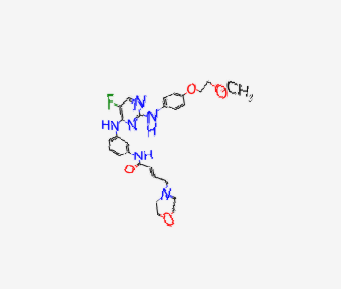 COCCOc1ccc(Nc2ncc(F)c(Nc3cccc(NC(=O)/C=C/CN4CCOCC4)c3)n2)cc1